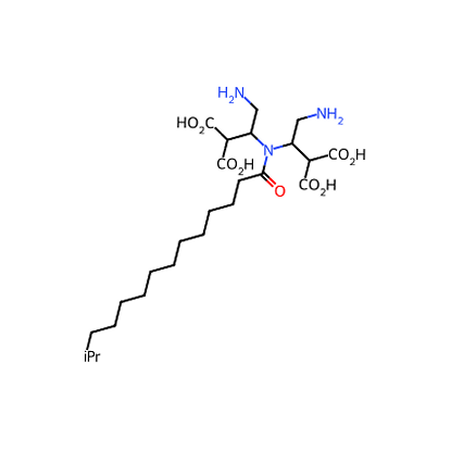 CC(C)CCCCCCCCCCCC(=O)N(C(CN)C(C(=O)O)C(=O)O)C(CN)C(C(=O)O)C(=O)O